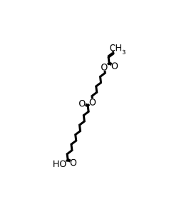 CC=CC(=O)OCCCCCCOC(=O)CCCCCCCCCCC(=O)O